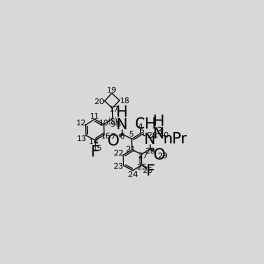 CCCNn1c(C)c(C(=O)N[C@H](c2cccc(F)c2)C2CCC2)c2cccc(F)c2c1=O